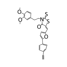 C#Cc1ccc(-c2ccc(/C=C3/SC(=S)N(CCc4ccc(OC)c(OC)c4)C3=O)o2)cc1